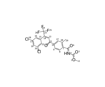 COC(=O)NC(=O)c1ccc(C(=O)/C=C(\c2cc(Cl)cc(Cl)c2)C(F)(F)F)cc1C